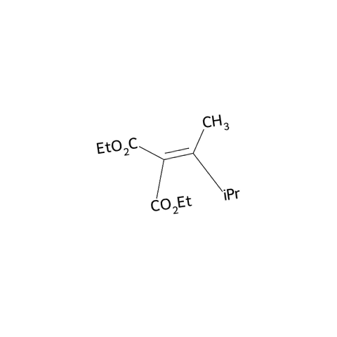 CCOC(=O)C(C(=O)OCC)=C(C)C(C)C